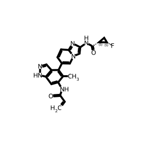 C=CC(=O)Nc1cc2[nH]ncc2c(-c2ccc3nc(NC(=O)[C@@H]4C[C@@H]4F)cn3c2)c1C